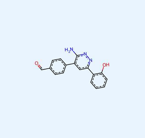 Nc1nnc(-c2ccccc2O)cc1-c1ccc(C=O)cc1